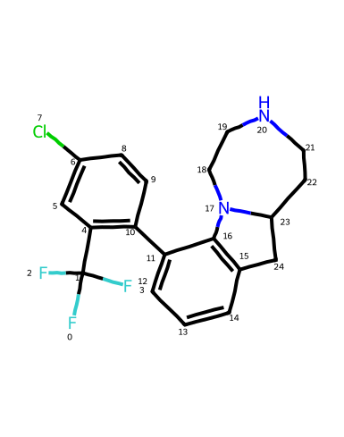 FC(F)(F)c1cc(Cl)ccc1-c1cccc2c1N1CCNCCC1C2